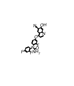 N#Cc1cc2c(Oc3ccc(N(C(N)=O)c4ccc(F)cc4F)c(F)c3)ccnc2cc1O